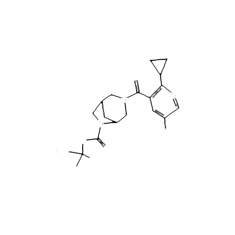 CC(C)(C)OC(=O)N1CC2CC1CN(C(=O)c1cc(F)cnc1C1CC1)C2